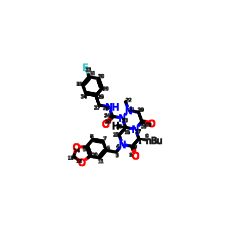 CCCC[C@H]1C(=O)N(Cc2ccc3c(c2)OCO3)C[C@H]2N1C(=O)CN(C)N2C(=O)NCc1ccc(F)cc1